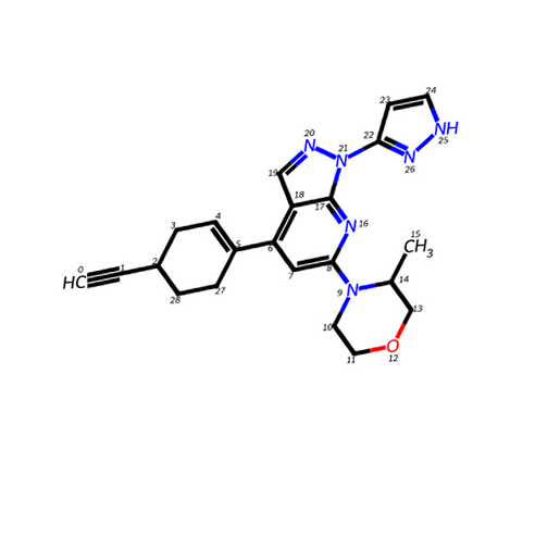 C#CC1CC=C(c2cc(N3CCOCC3C)nc3c2cnn3-c2cc[nH]n2)CC1